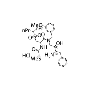 CCCC(CCC)S(=O)(=O)CC(NC(=O)CSC)C(=O)N(Cc1cccc(OC)c1)C[C@@H](O)[C@@H](N)Cc1ccccc1.Cl